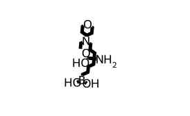 CCN(CCCC(N)(CCCCB(O)O)C(=O)O)C1CCOCC1